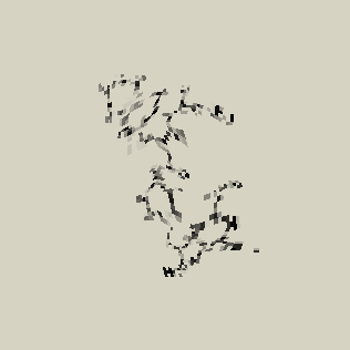 CCCCNc1nc(N)c2nc(O)n(Cc3ccc(NC(=O)C(CCC(=O)OC(C)(C)C)NC(=O)OCc4ccccc4)cc3)c2n1